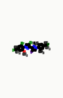 Cc1cc(C(F)(C(F)(F)F)C(F)(F)F)cc(C)c1-n1cc(I)c(-c2nn(-c3c(Br)cc(C(F)(C(F)(F)F)C(F)(F)F)cc3OC(F)(F)F)cc2Br)n1